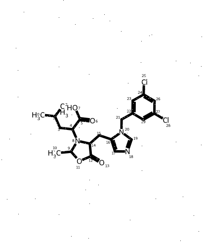 CC(C)CC(C(=O)O)N1C(C)OC(=O)C1Cc1cncn1Cc1cc(Cl)cc(Cl)c1